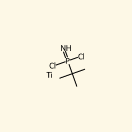 CC(C)(C)P(=N)(Cl)Cl.[Ti]